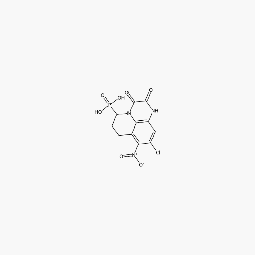 O=c1[nH]c2cc(Cl)c([N+](=O)[O-])c3c2n(c1=O)C(P(=O)(O)O)CC3